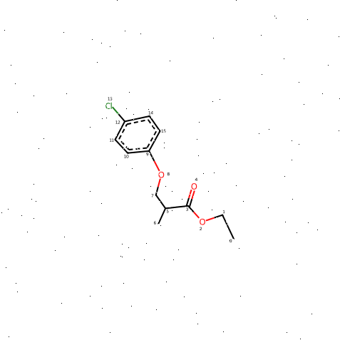 CCOC(=O)C(C)COc1ccc(Cl)cc1